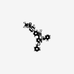 C[C@@H]1CN(c2ccc3c(-c4ccc(OCc5ccccc5)nc4OCc4ccccc4)nn(C)c3c2)CCN1C(=O)OC(C)(C)C